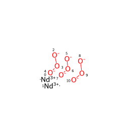 [Nd+3].[Nd+3].[O-]O[O-].[O-]O[O-].[O-]O[O-]